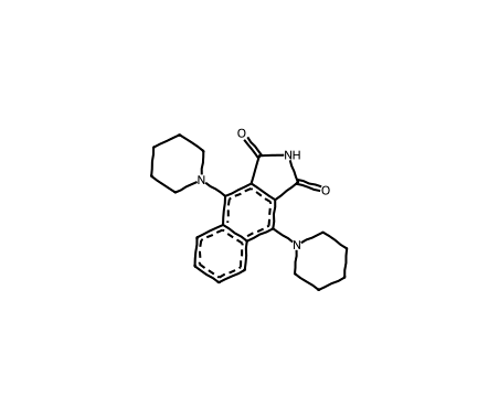 O=C1NC(=O)c2c1c(N1CCCCC1)c1ccccc1c2N1CCCCC1